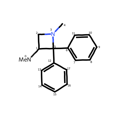 CNC1CN(C)C1(c1ccccc1)c1ccccc1